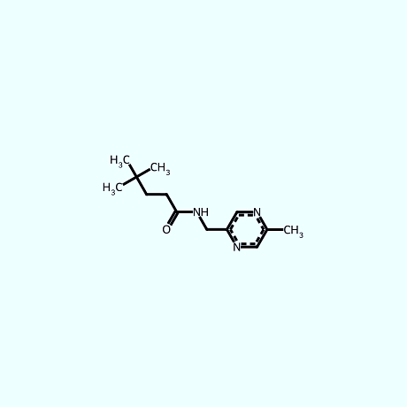 Cc1cnc(CNC(=O)CCC(C)(C)C)cn1